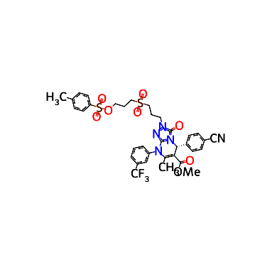 COC(=O)C1=C(C)N(c2cccc(C(F)(F)F)c2)c2nn(CCCS(=O)(=O)CCCOS(=O)(=O)c3ccc(C)cc3)c(=O)n2[C@@H]1c1ccc(C#N)cc1